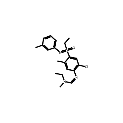 CCN(C)/C=N\c1cc(C)c(S(=O)(CC)=Nc2cccc(C)c2)cc1Cl